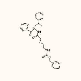 CC(C[C@H](NC(=O)CCCCNC(=O)OCc1ccccc1)C(=O)c1ccccn1)c1ccccc1